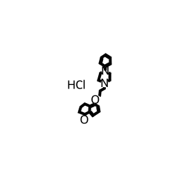 Cl.O=C1CCCc2c(OCCCN3CCN(c4ccccc4)CC3)cccc21